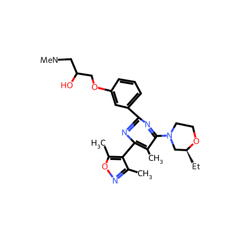 CC[C@H]1CN(c2nc(-c3cccc(OCC(O)CNC)c3)nc(-c3c(C)noc3C)c2C)CCO1